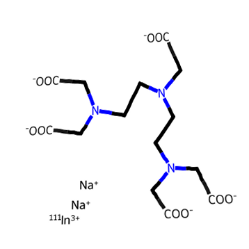 O=C([O-])CN(CCN(CC(=O)[O-])CC(=O)[O-])CCN(CC(=O)[O-])CC(=O)[O-].[111In+3].[Na+].[Na+]